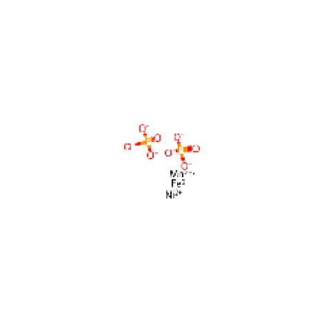 O=P([O-])([O-])[O-].O=P([O-])([O-])[O-].[Fe+2].[Mn+2].[Ni+2]